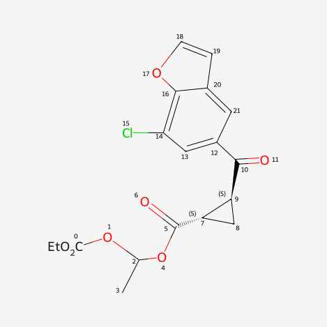 CCOC(=O)OC(C)OC(=O)[C@H]1C[C@@H]1C(=O)c1cc(Cl)c2occc2c1